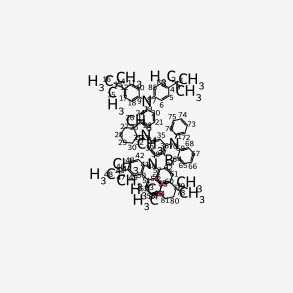 CC(C)(C)c1ccc(N(c2ccc(C(C)(C)C)cc2)c2ccc3c(c2)C2(C)CCCCC2(C)N3c2cc3c4c(c2)N(c2ccc(C(C)(C)C)cc2-c2ccccc2)c2cc5c(cc2B4c2ccccc2N3c2ccccc2)C(C)(C)CCC5(C)C)cc1